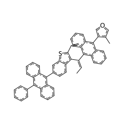 C=Cc1sc2cc(-c3c4ccccc4c(-c4ccccc4)c4ccccc34)ccc2c1/C(=C\C)c1c2ccccc2c(-c2cocc2C)c2ccccc12